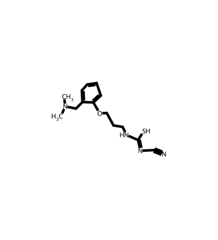 CN(C)Cc1ccccc1OCCCNC(S)=NC#N